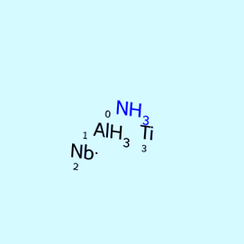 N.[AlH3].[Nb].[Ti]